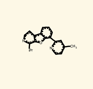 Cc1ccnc(-c2cccc3c2oc2c(C(C)C)nccc23)c1